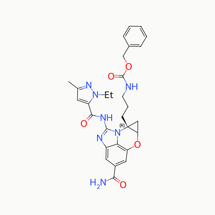 CCn1nc(C)cc1C(=O)Nc1nc2cc(C(N)=O)cc3c2n1[C@]1(CCCNC(=O)OCc2ccccc2)CC1O3